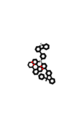 CC1(c2ccccc2)c2ccccc2-c2ccc(-c3ccc(N(c4cccc(-c5cccc6sc7ccccc7c56)c4)c4ccccc4-c4cccc5cccc(C6CCCCC6)c45)cc3)cc21